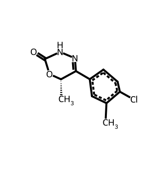 Cc1cc(C2=NNC(=O)O[C@H]2C)ccc1Cl